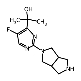 CC(C)(O)c1nc(N2CC3CNCC3C2)ncc1F